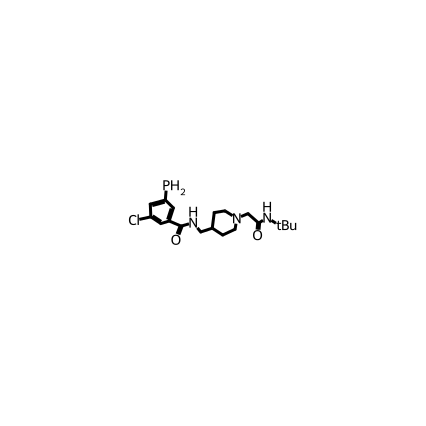 CC(C)(C)NC(=O)CN1CCC(CNC(=O)c2cc(P)cc(Cl)c2)CC1